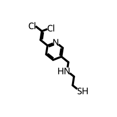 SCCNCc1ccc(C=C(Cl)Cl)nc1